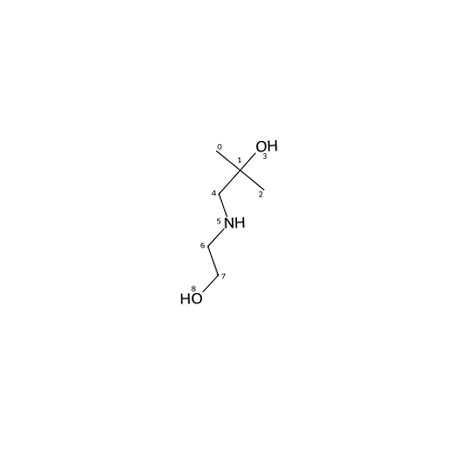 CC(C)(O)CNCCO